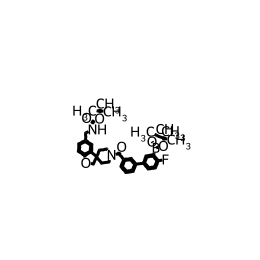 CC(C)(C)OC(=O)NCc1ccc2c(c1)C1(CCN(C(=O)c3cccc(-c4ccc(F)c(B5OC(C)(C)C(C)(C)O5)c4)c3)CC1)CO2